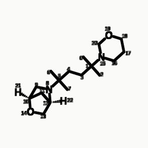 CC(C)(CCC(C)(C)N1C[C@H]2C[C@@H]1CO2)N1CCCOC1